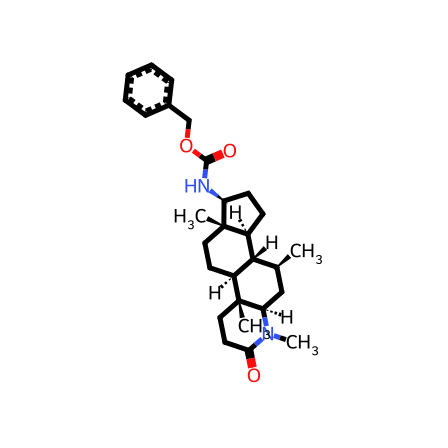 C[C@H]1C[C@H]2N(C)C(=O)CC[C@]2(C)[C@H]2CC[C@]3(C)[C@@H](NC(=O)OCc4ccccc4)CC[C@H]3[C@H]12